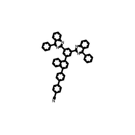 N#Cc1ccc(-c2ccc(-c3ccc(-c4cc(-c5nc(-c6ccccc6)c6ccccc6n5)cc(-c5nc(-c6ccccc6)c6ccccc6n5)c4)c4ccccc34)cc2)cc1